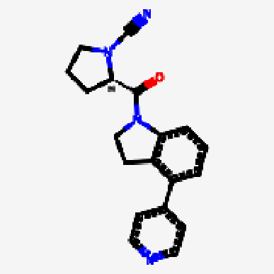 N#CN1CCC[C@H]1C(=O)N1CCc2c(-c3ccncc3)cccc21